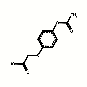 CC(=O)Oc1ccc(SCC(=O)O)cc1